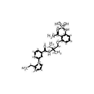 CCc1nccn1-c1cc(C(=O)NC(C)(C)COc2cccc3c2C(N)=NS(O)(O)N3)ccn1